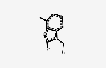 Cc1ccnc2c1nc(C(C)C)n2CC(C)(C)C